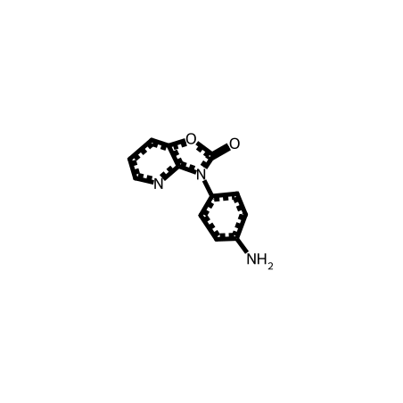 Nc1ccc(-n2c(=O)oc3cccnc32)cc1